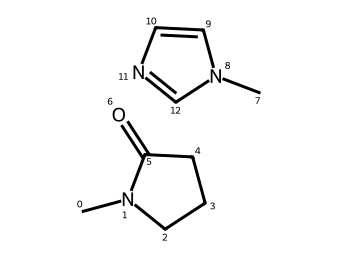 CN1CCCC1=O.Cn1ccnc1